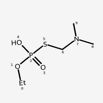 CCOP(=O)(O)SCN(C)C